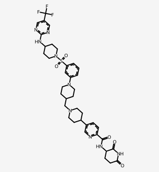 O=C1CCC(NC(=O)c2ccc(C3CCN(CC4CCN(c5cccc(S(=O)(=O)N6CCC(Nc7ncc(C(F)(F)F)cn7)CC6)c5)CC4)CC3)cn2)C(=O)N1